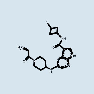 C=CC(=O)N1CCC(Nc2cnc3[nH]cc(C(=O)NC4CC(F)C4)c3n2)CC1